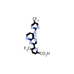 O=C(O)c1ccc(C(F)(F)F)c(-c2cnc3c(Nc4ncc(C(F)(F)F)cn4)ccnc3n2)n1